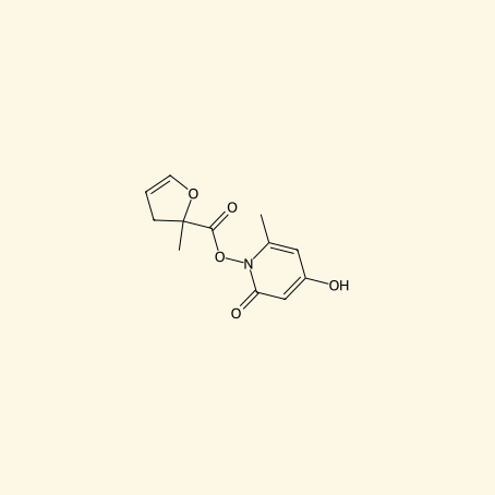 Cc1cc(O)cc(=O)n1OC(=O)C1(C)CC=CO1